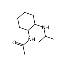 CC(=O)NC1CCCCC1NC(C)C